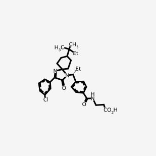 CC[C@H](c1ccc(C(=O)NCCC(=O)O)cc1)N1C(=O)C(c2cccc(Cl)c2)=NC12CCC(C(C)(C)CC)CC2